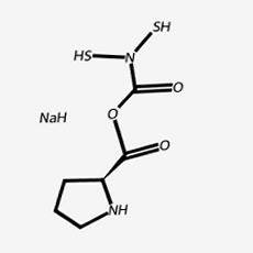 O=C(OC(=O)N(S)S)[C@@H]1CCCN1.[NaH]